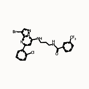 O=C(NCCCNc1cc(-c2ccccc2Cl)nc2c(Br)cnn12)c1cccc(C(F)(F)F)c1